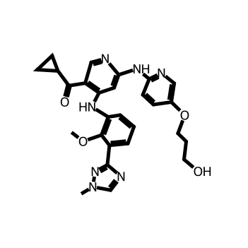 COc1c(Nc2cc(Nc3ccc(OCCCO)cn3)ncc2C(=O)C2CC2)cccc1-c1ncn(C)n1